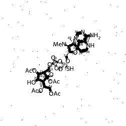 CN[C@@H]1[C@@H](COP(=O)(S)OP(=O)(O)OC2OC3(OC(C)=O)C2C(OC(C)=O)C(O)C3[C@H](COC(C)=O)OC(C)=O)OC2(C=CNc3c(N)ncnc32)[C@]1(C)F